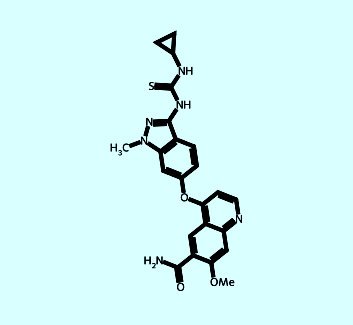 COc1cc2nccc(Oc3ccc4c(NC(=S)NC5CC5)nn(C)c4c3)c2cc1C(N)=O